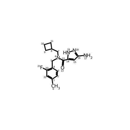 Cc1ccc(CN(CC2CCC2)C(=O)c2cc(N)n[nH]2)c(F)c1